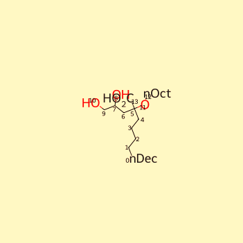 CCCCCCCCCCCCCCC(CC(O)CO)(OCCCCCCCC)C(=O)O